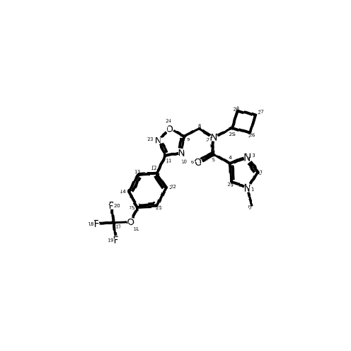 Cn1cnc(C(=O)N(Cc2nc(-c3ccc(OC(F)(F)F)cc3)no2)C2CCC2)c1